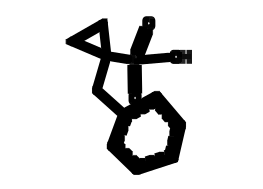 O=S(=O)(O)C1(Cc2ccccc2)CC1